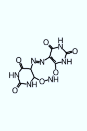 O=C1NC(=O)C2/N=N/c3c([nH]c(=O)[nH]c3=O)ONOC2N1